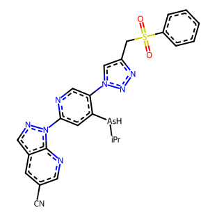 CC(C)[AsH]c1cc(-n2ncc3cc(C#N)cnc32)ncc1-n1cc(CS(=O)(=O)c2ccccc2)nn1